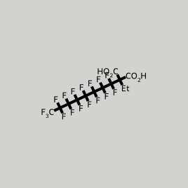 CCC(C(=O)O)(C(=O)O)C(F)(F)C(F)(F)C(F)(F)C(F)(F)C(F)(F)C(F)(F)C(F)(F)C(F)(F)F